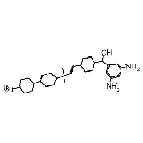 CCC(C)C1CCC(C2CCC(C(C)(C)/C=C/C3CCC(C(O)c4cc(N)cc(N)c4)CC3)CC2)CC1